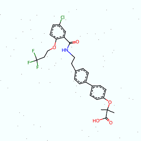 CC(C)(Oc1ccc(-c2ccc(CCNC(=O)c3cc(Cl)ccc3OCCC(F)(F)F)cc2)cc1)C(=O)O